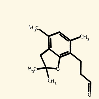 Cc1cc(C)c2c(c1CCC=O)OC(C)(C)C2